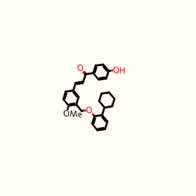 COc1ccc(C=CC(=O)c2ccc(O)cc2)cc1COc1ccccc1C1CCCCC1